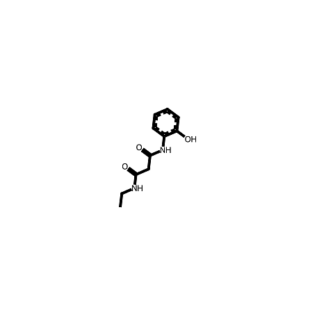 CCNC(=O)CC(=O)Nc1ccccc1O